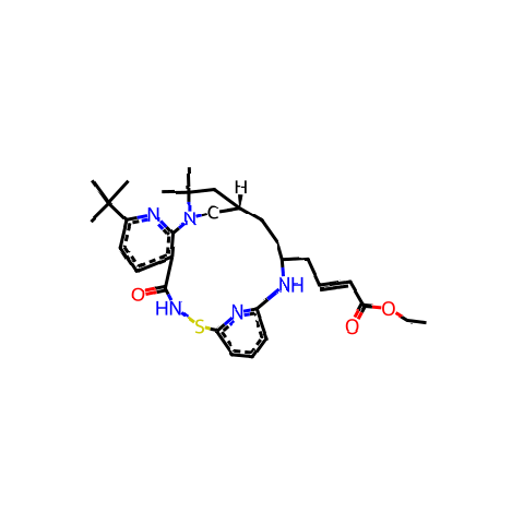 CCOC(=O)/C=C/CC1CC[C@@H]2CN(c3nc(C(C)(C)C)ccc3C(=O)NSc3cccc(n3)N1)C(C)(C)C2